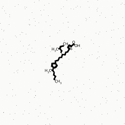 CC/C=C(/C)CC[C@@H](CCCCc1ccc(C(C)CCCCC)cc1)CCCc1ccc(C(=O)O)s1